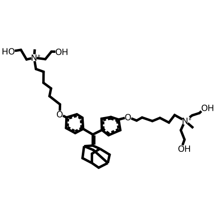 C[N+](CCO)(CCO)CCCCCCOc1ccc(C(=C2C3CC4CC(C3)CC2C4)c2ccc(OCCCCCC[N+](C)(CCO)CCO)cc2)cc1